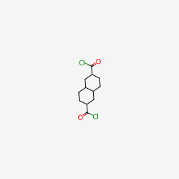 O=C(Cl)C1CCC2CC(C(=O)Cl)CCC2C1